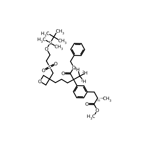 [2H]C([2H])([2H])C(CCCC1(CS(=O)(=O)CCO[Si](C)(C)C(C)(C)C)COC1)(C(=O)OCc1ccccc1)c1cccc(C[C@H](C)C(=O)OC)c1